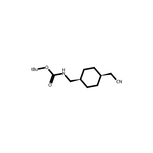 CC(C)(C)OC(=O)NC[C@H]1CC[C@@H](CC#N)CC1